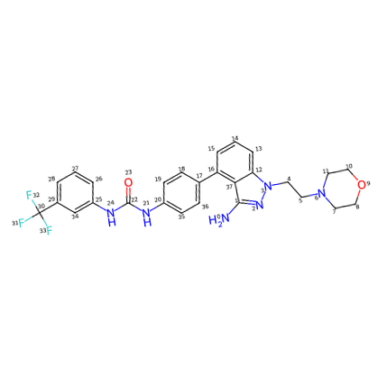 Nc1nn(CCN2CCOCC2)c2cccc(-c3ccc(NC(=O)Nc4cccc(C(F)(F)F)c4)cc3)c12